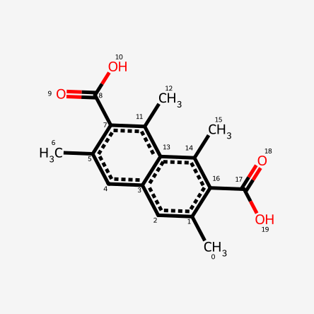 Cc1cc2cc(C)c(C(=O)O)c(C)c2c(C)c1C(=O)O